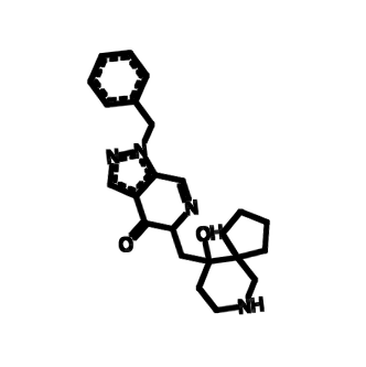 O=C1c2cnn(Cc3ccccc3)c2C=NC1CC1(O)CCNCC12CCCC2